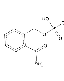 NC(=O)c1ccccc1COP(=O)(O)O